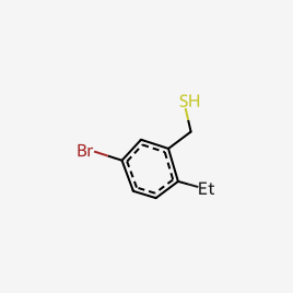 CCc1ccc(Br)cc1CS